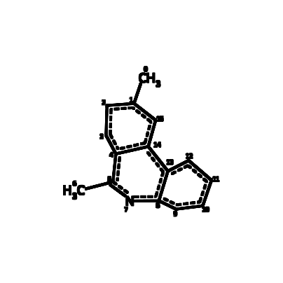 Cc1ccc2c(C)nc3ccccc3c2c1